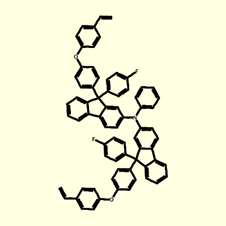 C=Cc1ccc(Oc2ccc(C3(c4ccc(F)cc4)c4ccccc4-c4ccc(N(c5ccccc5)c5ccc6c(c5)C(c5ccc(F)cc5)(c5ccc(Oc7ccc(C=C)cc7)cc5)c5ccccc5-6)cc43)cc2)cc1